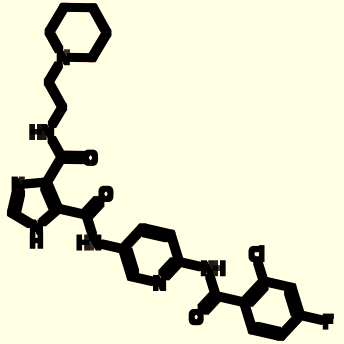 O=C(Nc1ccc(NC(=O)c2[nH]cnc2C(=O)NCCN2CCCCC2)cn1)c1ccc(F)cc1Cl